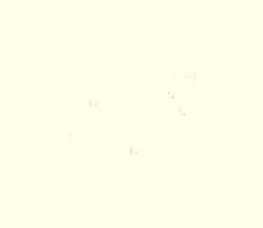 CC(C)(C)c1nn(C(=O)O)c2ccc(OC(F)(F)Br)c(Br)c12